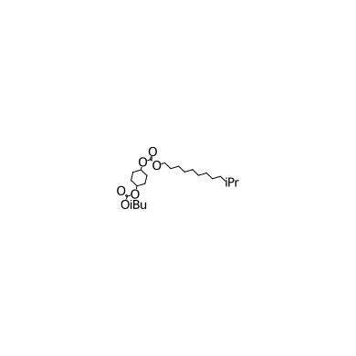 CC(C)CCCCCCCCCOC(=O)OC1CCC(OC(=O)OCC(C)C)CC1